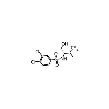 C[C@@H]([C@@H](CO)NS(=O)(=O)c1ccc(Cl)c(Cl)c1)C(F)(F)F